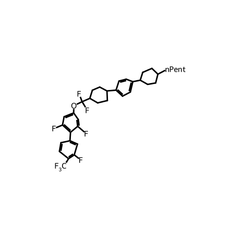 CCCCCC1CCC(c2ccc(C3CCC(C(F)(F)Oc4cc(F)c(-c5ccc(C(F)(F)F)c(F)c5)c(F)c4)CC3)cc2)CC1